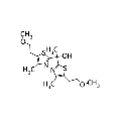 COCCc1sc(C(C)(O)c2nc(C)c(CCOC)s2)nc1C